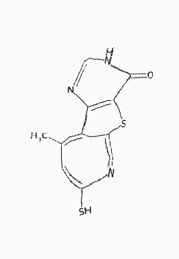 Cc1cc(S)nc2sc3c(=O)[nH]cnc3c12